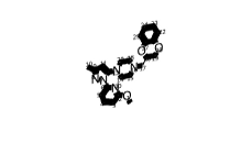 COc1cccc(-n2nc(C)cc2N2CCN(C[C@H]3COc4ccccc4O3)CC2)n1